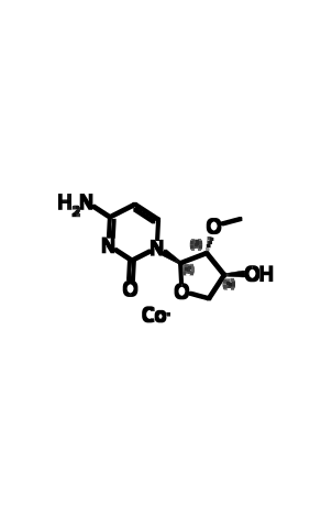 CO[C@H]1[C@H](n2ccc(N)nc2=O)OC[C@@H]1O.[Co]